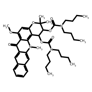 CCCCN(CCCC)C(=O)OC1c2c(cc(OC)c3c(=O)c4cc5ccccc5cc4n(C)c23)OC(C)(C)C1OC(=O)N(CCCC)CCCC